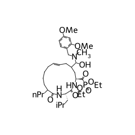 CCCC1CCCC/C=C/CC(C(O)N(C)Cc2ccc(OC)cc2OC)C[C@@H](C(=O)P(=O)(OCC)OCC)NC(=O)[C@H](CC(C)C)NC1=O